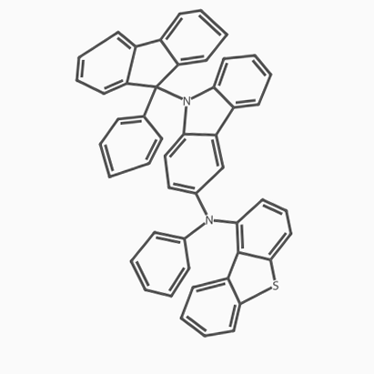 c1ccc(N(c2ccc3c(c2)c2ccccc2n3C2(c3ccccc3)c3ccccc3-c3ccccc32)c2cccc3sc4ccccc4c23)cc1